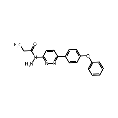 NN(C(=O)CC(F)(F)F)c1ccc(-c2ccc(Oc3ccccc3)cc2)nn1